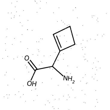 NC(C(=O)O)C1=CCC1